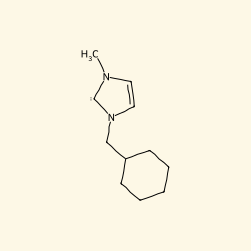 CN1[C]N(CC2CCCCC2)C=C1